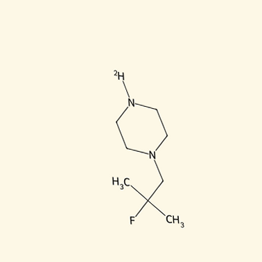 [2H]N1CCN(CC(C)(C)F)CC1